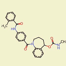 CNC(=O)OC1CCCN(C(=O)c2ccc(NC(=O)c3ccccc3C)cc2)c2ccccc21